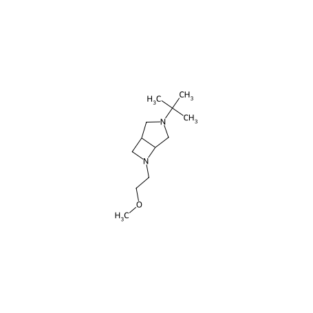 COCCN1CC2CN(C(C)(C)C)CC21